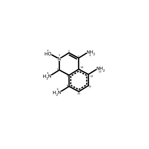 NC1=CN(O)C(N)c2c(N)ccc(N)c21